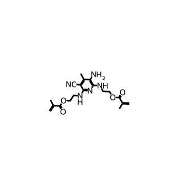 C=C(C)C(=O)OCCNc1nc(NCCOC(=O)C(=C)C)c(C#N)c(C)c1N